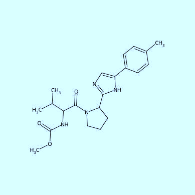 COC(=O)NC(C(=O)N1CCCC1c1ncc(-c2ccc(C)cc2)[nH]1)C(C)C